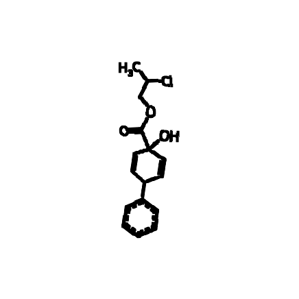 CC(Cl)COC(=O)C1(O)C=CC(c2ccccc2)C=C1